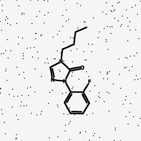 CCCCn1cnn(-c2ccccc2F)c1=O